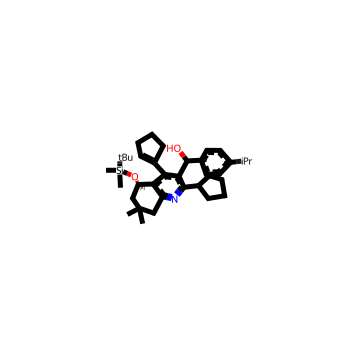 CC(C)c1ccc(C(O)c2c(C3CCCC3)nc3c(c2C2=CCCC2)[C@H](O[Si](C)(C)C(C)(C)C)CC(C)(C)C3)cc1